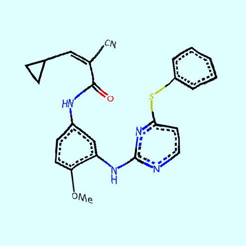 COc1ccc(NC(=O)/C(C#N)=C\C2CC2)cc1Nc1nccc(Sc2ccccc2)n1